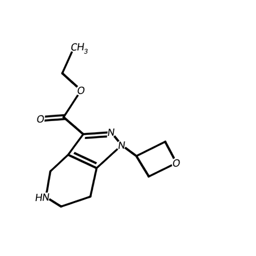 CCOC(=O)c1nn(C2COC2)c2c1CNCC2